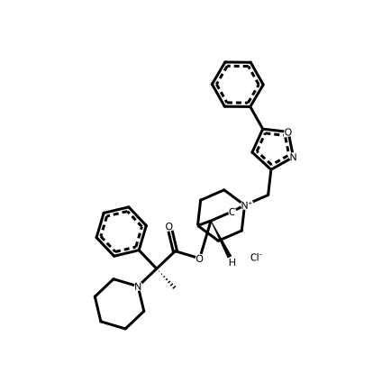 C[C@@](C(=O)O[C@H]1C[N+]2(Cc3cc(-c4ccccc4)on3)CCC1CC2)(c1ccccc1)N1CCCCC1.[Cl-]